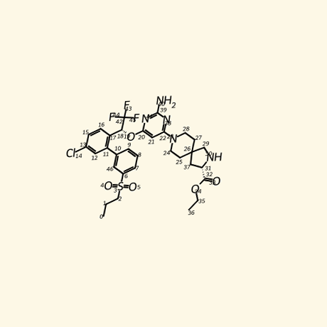 CCCS(=O)(=O)c1cccc(-c2cc(Cl)ccc2[C@@H](Oc2cc(N3CCC4(CC3)CN[C@H](C(=O)OCC)C4)nc(N)n2)C(F)(F)F)c1